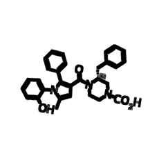 Cc1cc(C(=O)N2CCN(C(=O)O)C[C@H]2Cc2ccccc2)c(-c2ccccc2)n1-c1ccccc1O